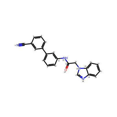 N#Cc1cccc(-c2cccc(NC(=O)Cn3cnc4ccccc43)c2)c1